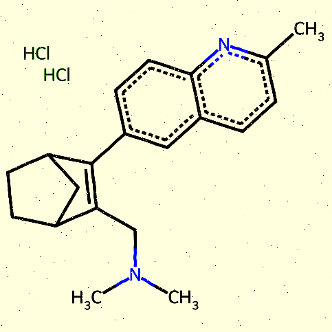 Cc1ccc2cc(C3=C(CN(C)C)C4CCC3C4)ccc2n1.Cl.Cl